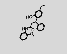 CCc1ccc(C(CC(=O)Nc2ccccc2OC)c2ccccc2)c(O)c1